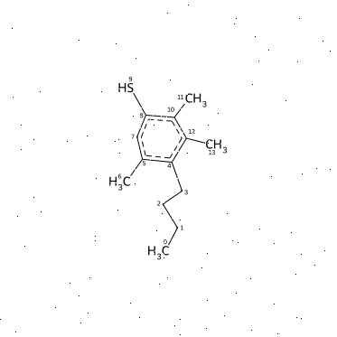 CCCCc1c(C)cc(S)c(C)c1C